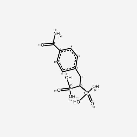 NC(=O)c1ccc(CC(P(=O)(O)O)P(=O)(O)O)cc1